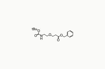 CC(C)(C)OC(=O)NCCOCCC(=O)OCc1ccccc1